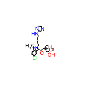 C[C@H](CC(=O)O)CC(=O)c1c(CCCCCNc2cnccn2)n(C)c2ccc(Cl)cc12